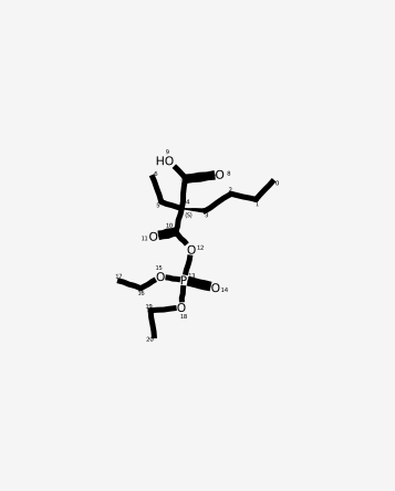 CCCC[C@@](CC)(C(=O)O)C(=O)OP(=O)(OCC)OCC